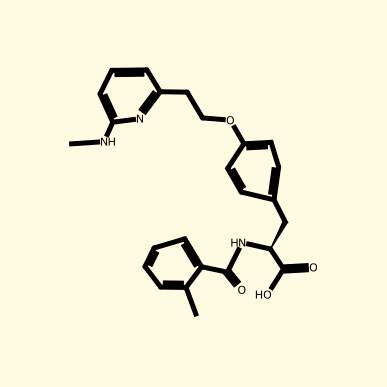 CNc1cccc(CCOc2ccc(C[C@H](NC(=O)c3ccccc3C)C(=O)O)cc2)n1